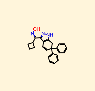 O/N=C(\c1n[nH]c2c1C=CC(c1ccccc1)(c1ccccc1)C2)C1CCC1